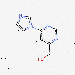 OCc1cc(-n2ccnc2)ncn1